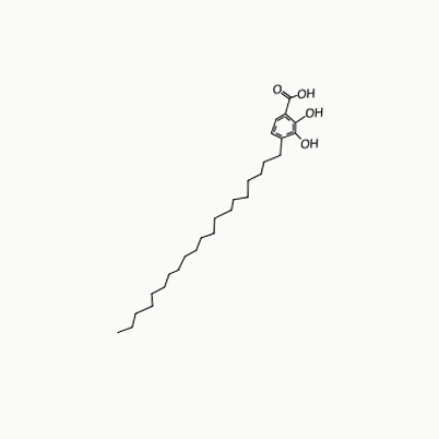 CCCCCCCCCCCCCCCCCCCCc1ccc(C(=O)O)c(O)c1O